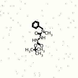 CN(Cc1ccccc1)C(=O)NNC(=O)OC(C)(C)C